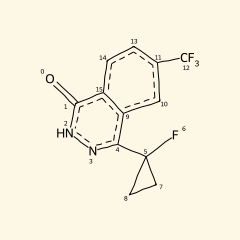 O=c1[nH]nc(C2(F)CC2)c2cc(C(F)(F)F)ccc12